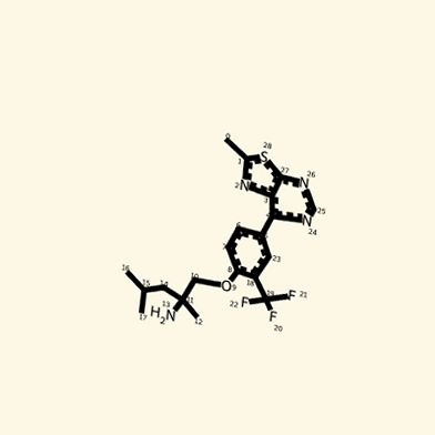 Cc1nc2c(-c3ccc(OCC(C)(N)CC(C)C)c(C(F)(F)F)c3)ncnc2s1